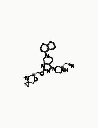 CN1C[C@H](COc2nc3c(c(N4CCN[C@@H](CC#N)C4)n2)CCN(c2cccc4ccccc24)C3)OCC12CC2